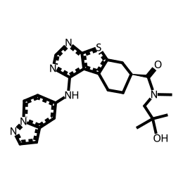 CN(CC(C)(C)O)C(=O)[C@H]1CCc2c(sc3ncnc(Nc4ccn5nccc5c4)c23)C1